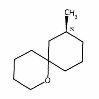 C[C@H]1CCCC2(CCCCO2)C1